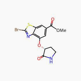 COC(=O)c1cc(O[C@@H]2CCNC2=O)c2nc(Br)sc2c1